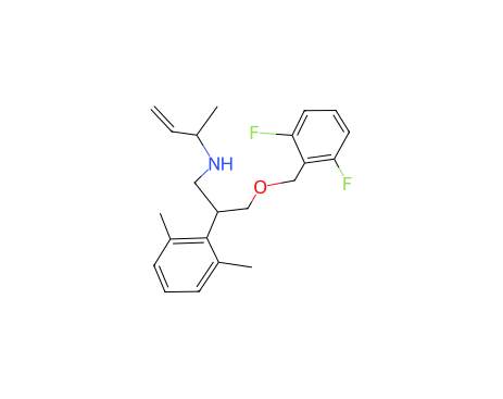 C=CC(C)NCC(COCc1c(F)cccc1F)c1c(C)cccc1C